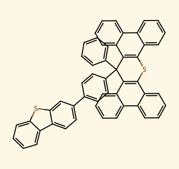 c1ccc(C2(c3ccc(-c4ccc5c(c4)sc4ccccc45)cc3)c3c(c4ccccc4c4ccccc34)Sc3c2c2ccccc2c2ccccc32)cc1